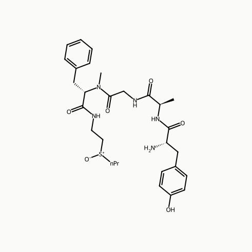 CCC[S+]([O-])CCNC(=O)[C@H](Cc1ccccc1)N(C)C(=O)CNC(=O)[C@@H](C)NC(=O)[C@@H](N)Cc1ccc(O)cc1